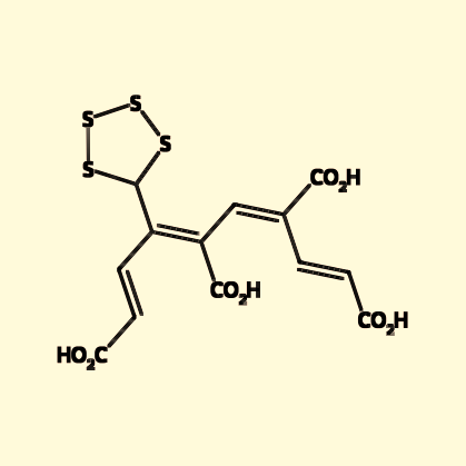 O=C(O)C=CC(=CC(C(=O)O)=C(C=CC(=O)O)C1SSSS1)C(=O)O